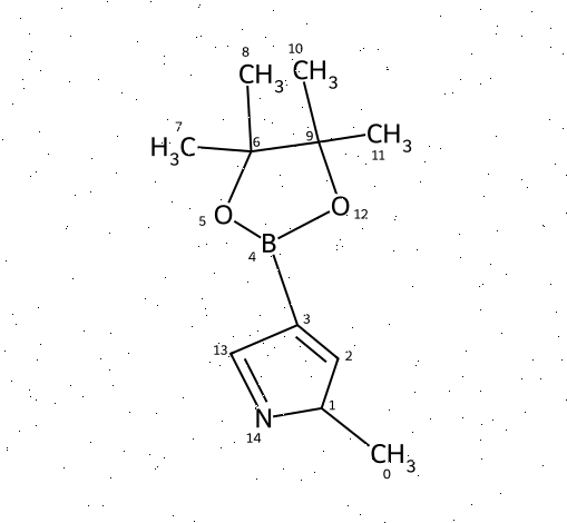 CC1C=C(B2OC(C)(C)C(C)(C)O2)C=N1